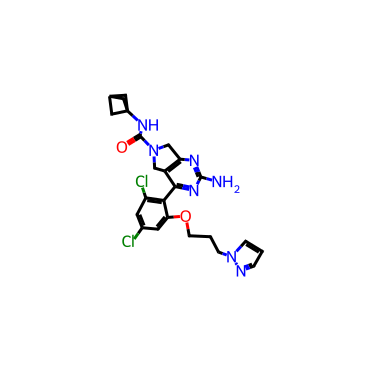 Nc1nc2c(c(-c3c(Cl)cc(Cl)cc3OCCCn3cccn3)n1)CN(C(=O)NC13CC(C1)C3)C2